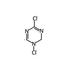 ClC1=NCN(Cl)[C]=N1